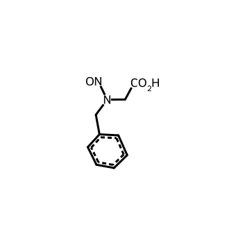 O=NN(CC(=O)O)Cc1ccccc1